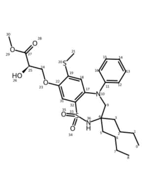 CCCCC1(CCCC)CN(c2ccccc2)c2cc(SC)c(OC[C@@H](O)C(=O)OC)cc2S(=O)(=O)N1